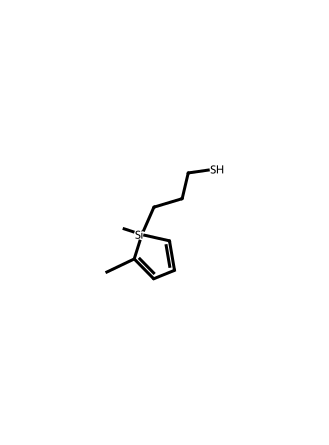 CC1=CC=C[Si]1(C)CCCS